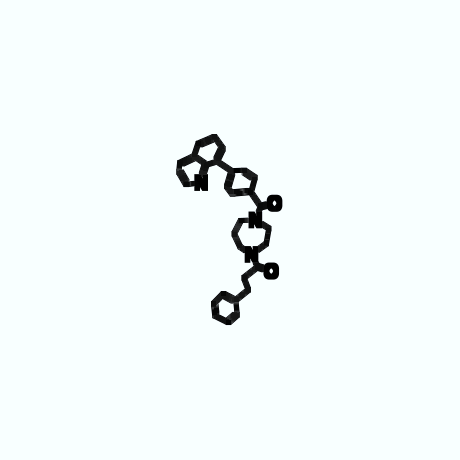 O=C(CCc1ccccc1)N1CCCN(C(=O)c2ccc(-c3cccc4cccnc34)cc2)CC1